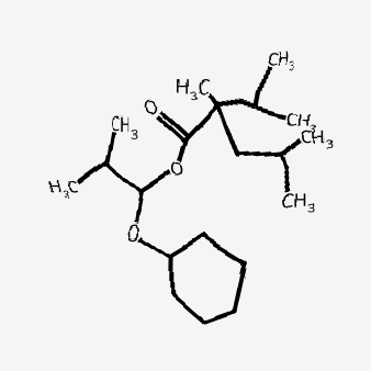 CC(C)CC(C)(C(=O)OC(OC1CCCCC1)C(C)C)C(C)C